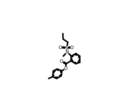 CCCS(=O)(=O)N(C)c1ccccc1C(=O)Oc1ccc(C)cc1